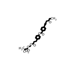 C=CC(=O)CC#Cc1ccc(C(=O)Oc2ccc(CCC(=O)OCOC(=O)C(=C)C)cc2)cc1